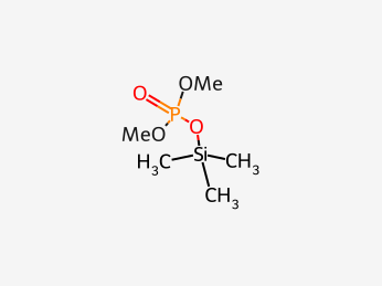 COP(=O)(OC)O[Si](C)(C)C